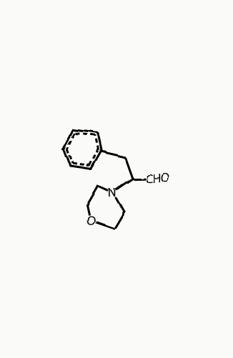 O=CC(Cc1ccccc1)N1CCOCC1